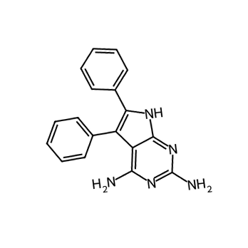 Nc1nc(N)c2c(-c3ccccc3)c(-c3ccccc3)[nH]c2n1